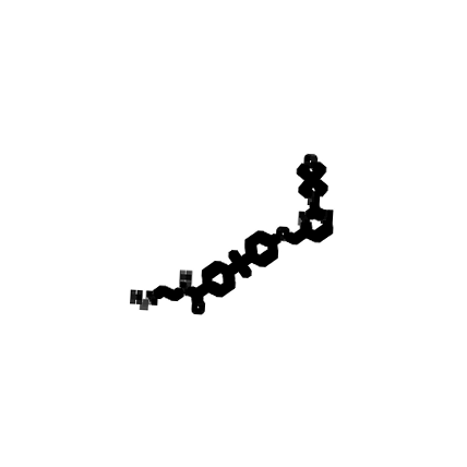 CC(C)(c1ccc(OCc2ccnc(N3CC4(COC4)C3)n2)cc1)c1ccc(C(=O)NCCN)cc1